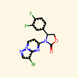 O=C1OCC(c2ccc(F)c(F)c2)N1c1ccn2ncc(Br)c2n1